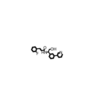 O=C(C=Cc1ccccc1F)NC(CO)c1cccc(-c2cccnc2)c1